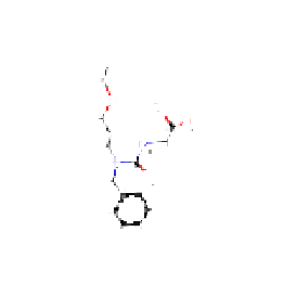 CCOCCCN(Cc1ccccc1)C(=O)NCC(=O)O